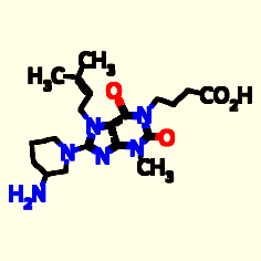 CC(C)=CCn1c(N2CCCC(N)C2)nc2c1c(=O)n(CCCC(=O)O)c(=O)n2C